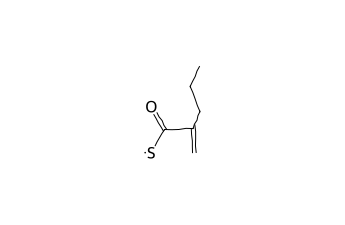 C=C(CCC)C(=O)[S]